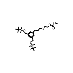 COC(=O)OCCOCCCc1cc(CO[Si](C)(C)C(C)(C)C)cc(CO[Si](C)(C)C(C)(C)C)c1